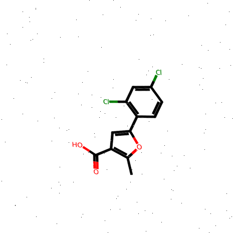 Cc1oc(-c2ccc(Cl)cc2Cl)cc1C(=O)O